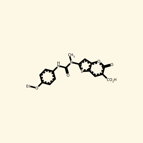 CCOc1ccc(NC(=O)N(C)c2cc3oc(=O)c(C(=O)O)cc3s2)cc1